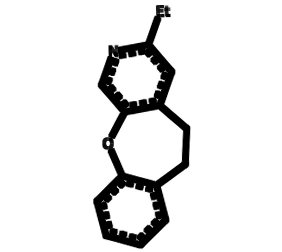 CCc1cc2c(cn1)Oc1ccccc1CC2